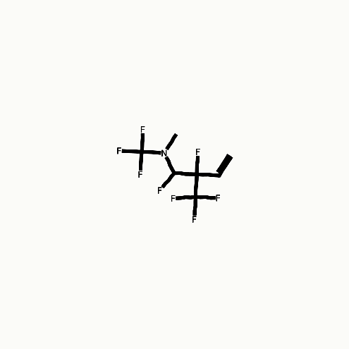 C=CC(F)(C(F)N(C)C(F)(F)F)C(F)(F)F